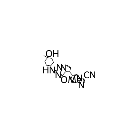 COc1nc(NC2CCC(C)(O)CC2)nn2ccc(-c3ccc4ncc(C#N)n4c3)c12